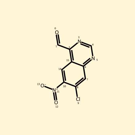 O=Cc1ncnc2cc(Cl)c([N+](=O)[O-])cc12